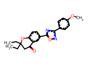 CCC1(CC)CC(=O)c2cc(-c3nc(-c4ccc(OC)cc4)no3)ccc2O1